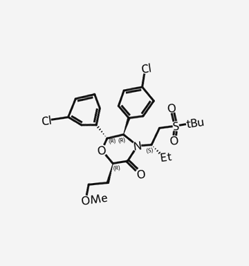 CC[C@@H](CS(=O)(=O)C(C)(C)C)N1C(=O)[C@@H](CCOC)O[C@H](c2cccc(Cl)c2)[C@H]1c1ccc(Cl)cc1